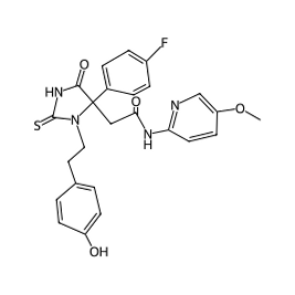 COc1ccc(NC(=O)CC2(c3ccc(F)cc3)C(=O)NC(=S)N2CCc2ccc(O)cc2)nc1